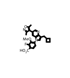 COc1c(-n2cc(CC3CCC3)c3ncc(-c4c(C)noc4C)cc32)ccc(C(=O)O)c1F